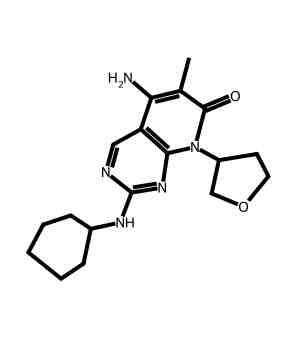 Cc1c(N)c2cnc(NC3CCCCC3)nc2n(C2CCOC2)c1=O